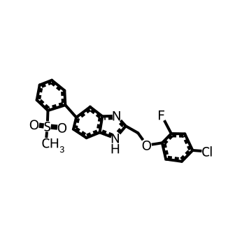 CS(=O)(=O)c1ccccc1-c1ccc2[nH]c(COc3ccc(Cl)cc3F)nc2c1